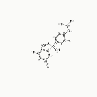 Cc1cc(C(O)(C=O)c2cc(F)cc(F)c2)ccc1OC(F)F